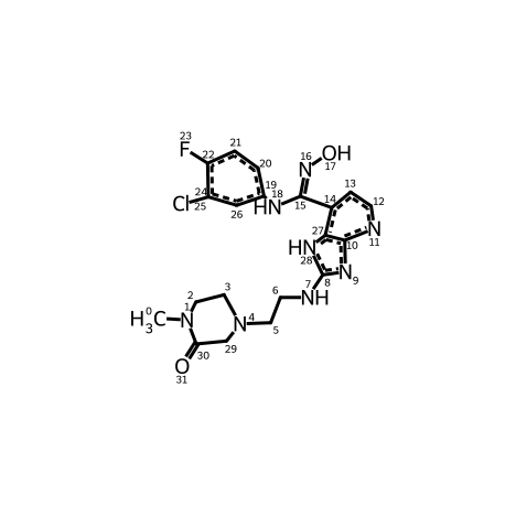 CN1CCN(CCNc2nc3nccc(/C(=N\O)Nc4ccc(F)c(Cl)c4)c3[nH]2)CC1=O